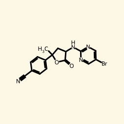 CC1(c2ccc(C#N)cc2)CC(Nc2ncc(Br)cn2)C(=O)O1